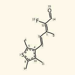 CC(/C=C/c1c(C)sc(C)c1C)=C(/F)C=O